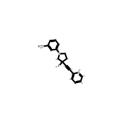 Cc1cccc(N2CCC(F)(C#Cc3ccccn3)C2)c1